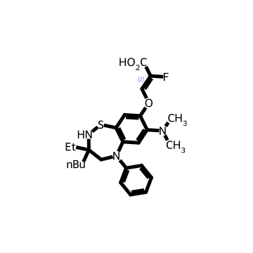 CCCCC1(CC)CN(c2ccccc2)c2cc(N(C)C)c(O/C=C(\F)C(=O)O)cc2SN1